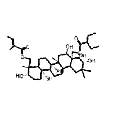 C/C=C(\C)C(=O)OC[C@]1(C)C2CC[C@]3(S)C(CC=C4C5CC(C)(C)[C@@H](O)[C@H](O)[C@]5(COC(=O)C(CC)CC)[C@H](O)C[C@]43C)[C@@]2(S)CC[C@@H]1O